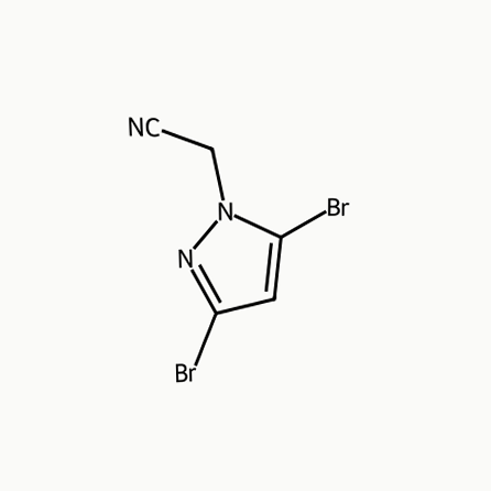 N#CCn1nc(Br)cc1Br